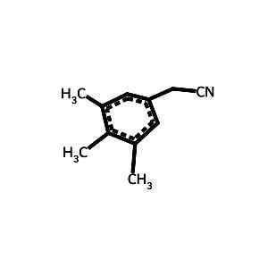 Cc1cc(CC#N)cc(C)c1C